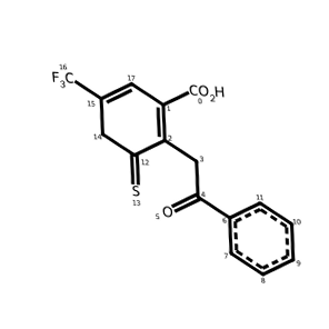 O=C(O)C1=C(CC(=O)c2ccccc2)C(=S)CC(C(F)(F)F)=C1